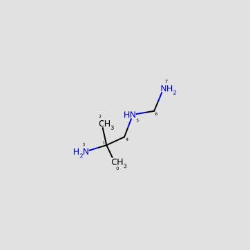 CC(C)(N)CNCN